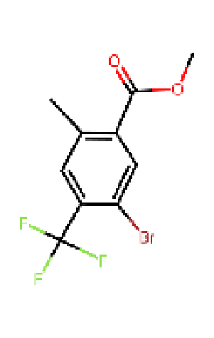 COC(=O)c1cc(Br)c(C(F)(F)F)cc1C